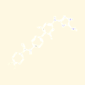 Cc1cc(Nc2n[nH]c(N)n2)cc(C)c1-c1ccc(NC(=O)C2CCC(F)(F)CC2)cc1